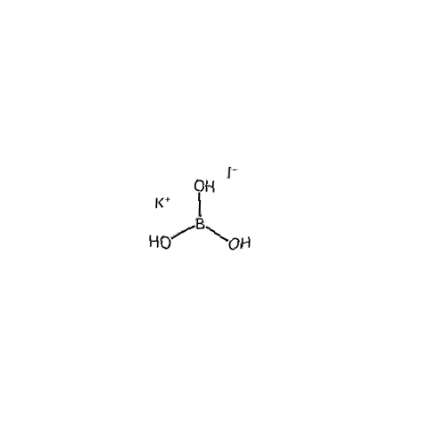 OB(O)O.[I-].[K+]